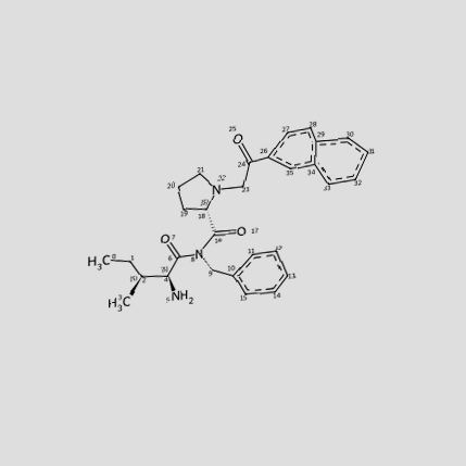 CC[C@H](C)[C@H](N)C(=O)N(Cc1ccccc1)C(=O)[C@@H]1CCCN1CC(=O)c1ccc2ccccc2c1